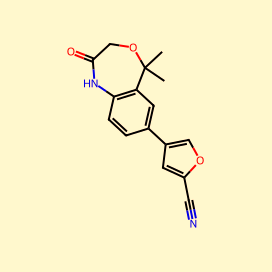 CC1(C)OCC(=O)Nc2ccc(-c3coc(C#N)c3)cc21